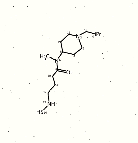 CC(C)CN1CCC(N(C)C(=O)CCCNS)CC1